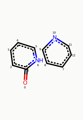 O=c1cccc[nH]1.c1ccncc1